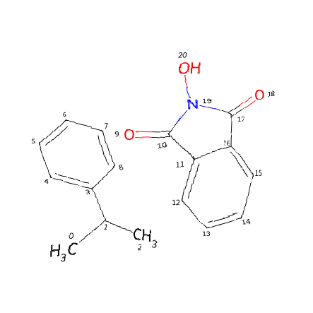 CC(C)c1ccccc1.O=C1c2ccccc2C(=O)N1O